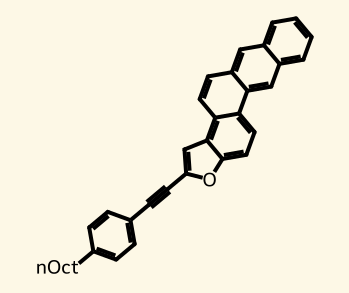 CCCCCCCCc1ccc(C#Cc2cc3c(ccc4c5cc6ccccc6cc5ccc34)o2)cc1